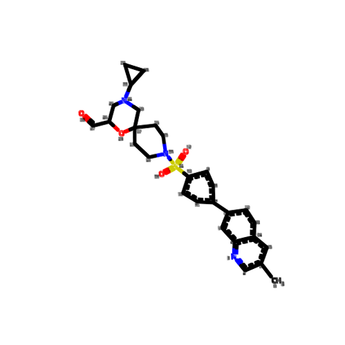 Cc1cnc2cc(-c3ccc(S(=O)(=O)N4CCC5(CC4)CN(C4CC4)CC(C=O)O5)cc3)ccc2c1